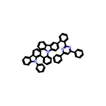 c1ccc(-c2cc(-c3ccccc3)nc(-c3ccccc3-c3ccc4c(c3)c3ccccc3n4-c3ccccc3-c3cccc4c5ccccc5n(-c5ccccc5)c34)n2)cc1